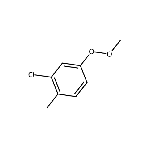 COOc1ccc(C)c(Cl)c1